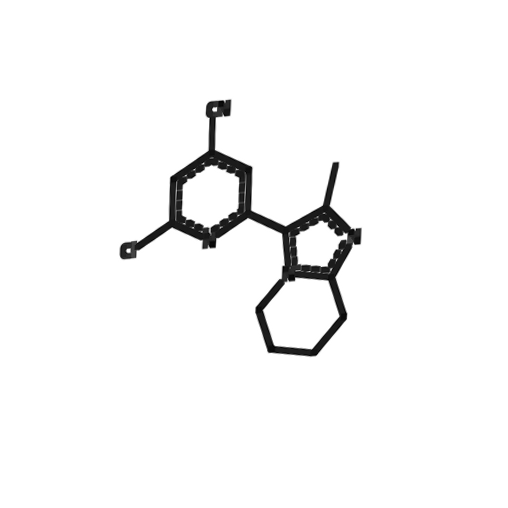 Cc1nc2n(c1-c1cc(C#N)cc(Cl)n1)CCCC2